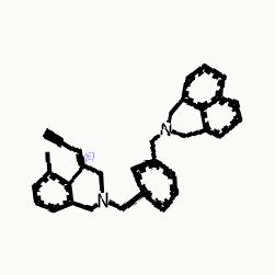 C#C/C=C1/CN(Cc2cccc(CN3Cc4cccc5cccc(c45)C3)c2)Cc2cccc(C)c21